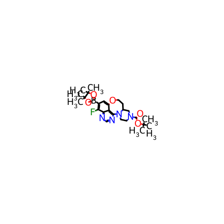 CC(C)(C)OC(=O)N1CCN2c3ncnc4c(F)c(B5OC(C)(C)C(C)(C)O5)cc(c34)OCCC2C1